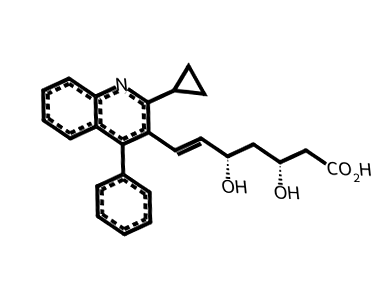 O=C(O)C[C@H](O)C[C@H](O)/C=C/c1c(C2CC2)nc2ccccc2c1-c1ccccc1